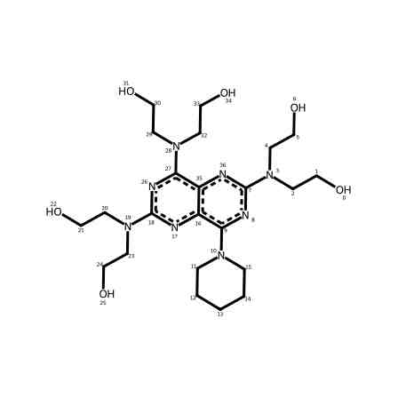 OCCN(CCO)c1nc(N2CCCCC2)c2nc(N(CCO)CCO)nc(N(CCO)CCO)c2n1